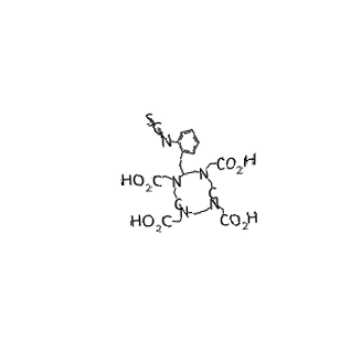 O=C(O)CN1CCN(CC(=O)O)CCN(CC(=O)O)C(Cc2ccccc2N=C=S)CN(CC(=O)O)CC1